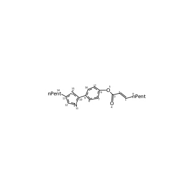 CCCCC/C=C/C(=O)Oc1ccc(-c2ncc(CCCCC)s2)cc1